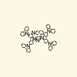 N#Cc1ccccc1-c1cc(-n2c3ccc(-n4c5ccccc5c5ccccc54)cc3c3cc(-n4c5ccccc5c5ccccc54)ccc32)ncc1-n1c2ccc(-n3c4ccccc4c4ccccc43)cc2c2cc(-n3c4ccccc4c4ccccc43)ccc21